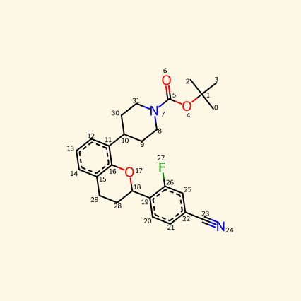 CC(C)(C)OC(=O)N1CCC(c2cccc3c2OC(c2ccc(C#N)cc2F)CC3)CC1